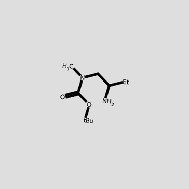 CCC(N)CN(C)C(=O)OC(C)(C)C